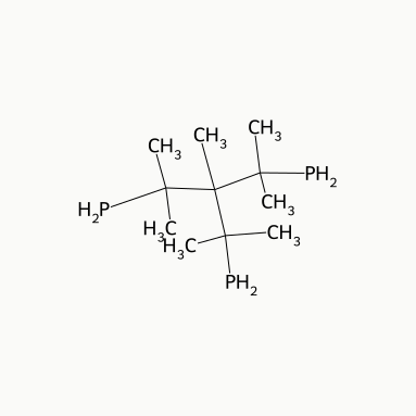 CC(C)(P)C(C)(C(C)(C)P)C(C)(C)P